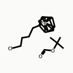 CC(C)(C)OC=O.ClCCCC[C]12[CH]3[CH]4[CH]5[CH]1[Fe]45321678[CH]2[CH]1[CH]6[CH]7[CH]28